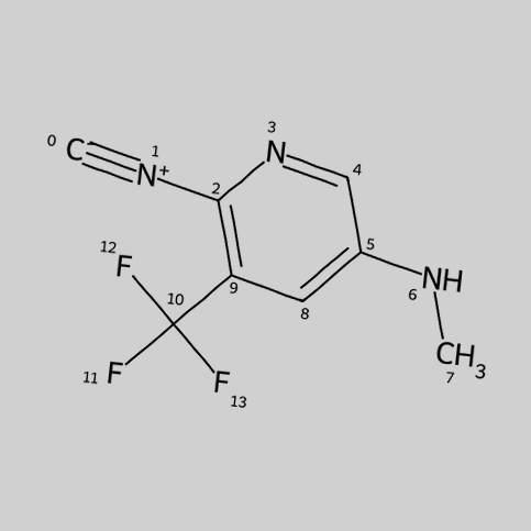 [C-]#[N+]c1ncc(NC)cc1C(F)(F)F